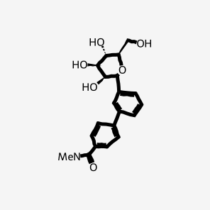 CNC(=O)c1ccc(-c2cccc(C3O[C@H](CO)[C@@H](O)[C@H](O)[C@@H]3O)c2)cc1